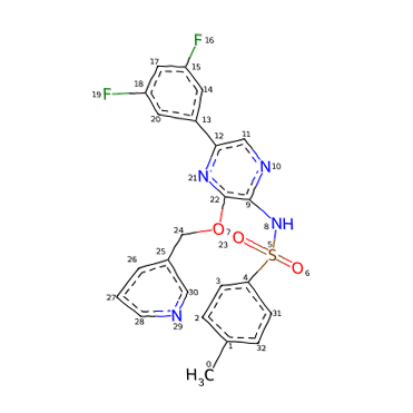 Cc1ccc(S(=O)(=O)Nc2ncc(-c3cc(F)cc(F)c3)nc2OCc2cccnc2)cc1